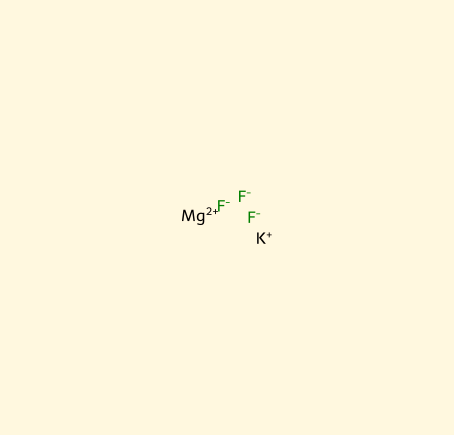 [F-].[F-].[F-].[K+].[Mg+2]